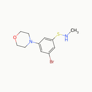 CNSc1cc(Br)cc(N2CCOCC2)c1